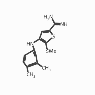 CSc1sc(C(=N)N)cc1Nc1ccc(C)c(C)c1